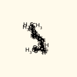 CC(C)(C)OC(=O)N1CCc2c(ncnc2Oc2ccc3c(c2)CCN3C(=O)Nc2cc(COS(C)(=O)=O)cc(C(F)(F)F)c2)C1